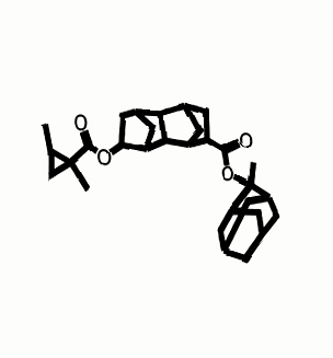 CC1CC1(C)C(=O)OC1CC2CC1C1C3CC(CC3C(=O)OC3(C)C4CC5CC(C4)CC3C5)C21